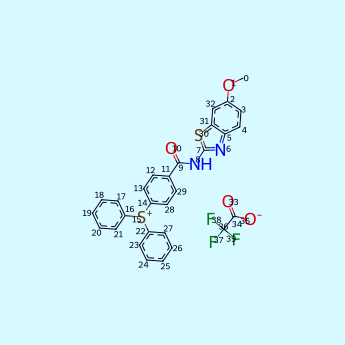 COc1ccc2nc(NC(=O)c3ccc([S+](c4ccccc4)c4ccccc4)cc3)sc2c1.O=C([O-])C(F)(F)F